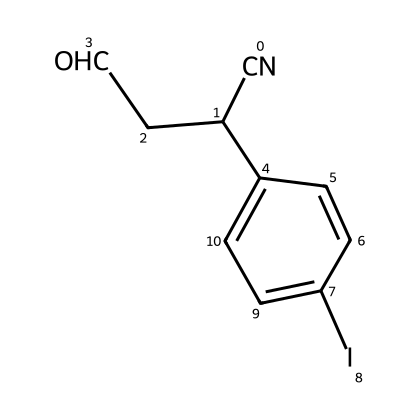 N#CC(CC=O)c1ccc(I)cc1